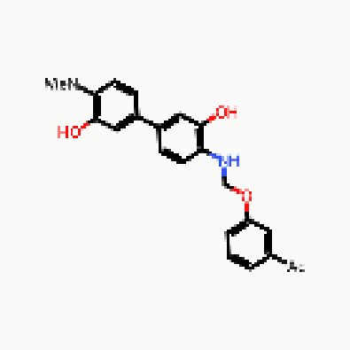 CNc1ccc(-c2ccc(NCOc3cccc(C(C)=O)c3)c(O)c2)cc1O